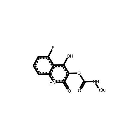 CC(C)(C)NC(=O)Oc1c(O)c2c(F)cccc2[nH]c1=O